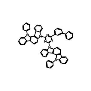 c1ccc(-c2cccc(-c3nc(-n4c5ccccc5c5c4ccc4c6ccccc6n(-c6ccccc6)c45)nc(-n4c5ccccc5c5c4ccc4c6ccccc6n(-c6ccccc6)c45)n3)c2)cc1